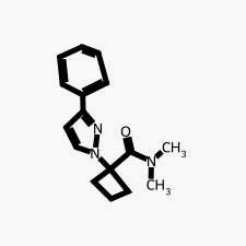 CN(C)C(=O)C1(n2ccc(-c3ccccc3)n2)CCC1